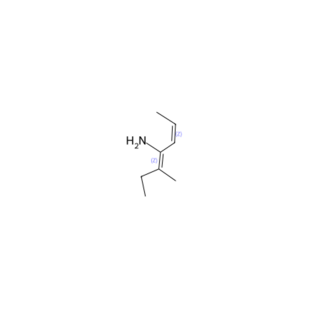 C/C=C\C(N)=C(/C)CC